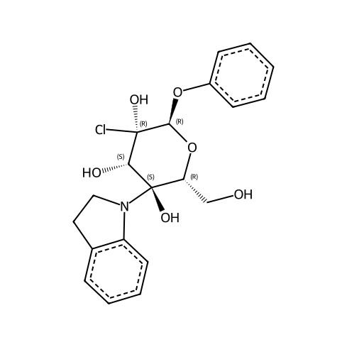 OC[C@H]1O[C@H](Oc2ccccc2)[C@](O)(Cl)[C@@H](O)[C@@]1(O)N1CCc2ccccc21